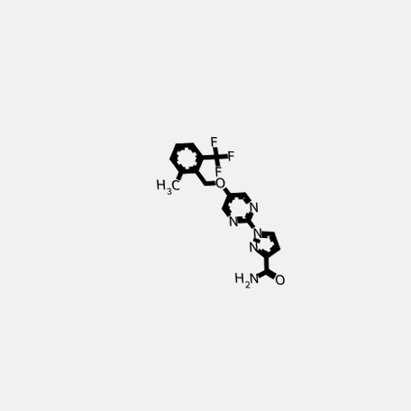 Cc1cccc(C(F)(F)F)c1COc1cnc(-n2ccc(C(N)=O)n2)nc1